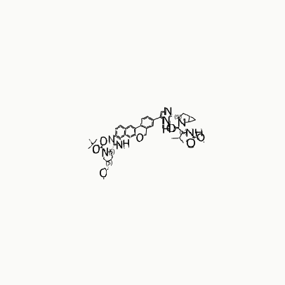 COC[C@H]1C[C@@H](c2nc3ccc4cc5c(cc4c3[nH]2)OCc2cc(-c3cnc([C@@H]4CC6CC6N4C(=O)[C@@H](NC(=O)OC)C(C)C)[nH]3)ccc2-5)N(C(=O)OC(C)(C)C)C1